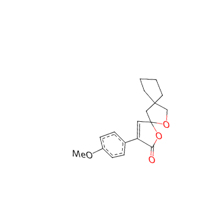 COc1ccc(C2=CC3(CC4(CCCC4)CO3)OC2=O)cc1